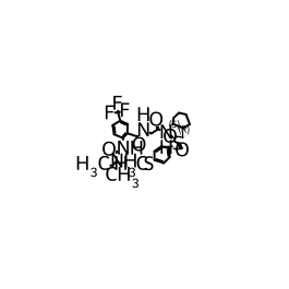 CSc1ccc(S(=O)(=O)C[C@@H]2CCCC[C@@H]2NC(=O)CNC(=O)c2cc(C(F)(F)F)ccc2NC(=O)NC(C)C)cc1